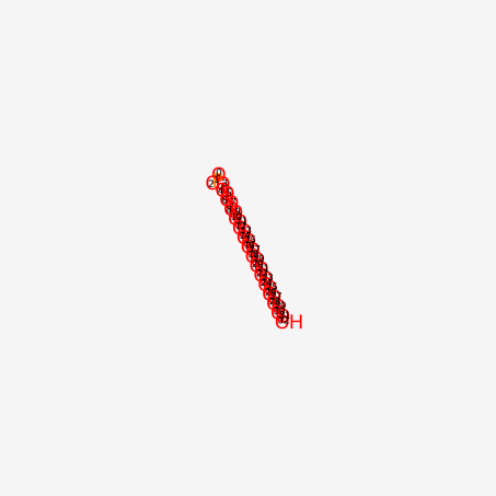 O=P(=O)OOOOOOOOOOOOOOOOOOOOOOOOOOOOOO